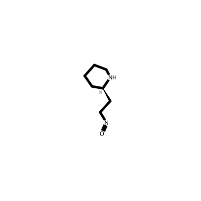 O=NCC[C@H]1CCCCN1